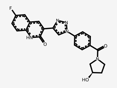 O=C(c1ccc(-n2cc(-c3cc4cc(F)ccc4[nH]c3=O)nn2)cc1)N1CC[C@@H](O)C1